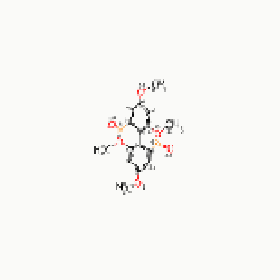 COc1cc(OC)c(-c2c(OC)cc(OC)cc2P=O)c(P=O)c1